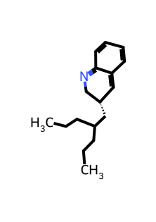 CCCC(CCC)C[C@H]1C=c2ccccc2=NC1